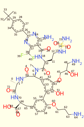 C[C@@H]1NC(=O)[C@@H](N(C)C(=O)[C@H](CCNS(N)(=O)=O)NC(=O)c2c(N)nc(-c3ccc(C(C)(C)C)cc3)nc2C(F)F)c2cc(OC[C@H](O)CN)c(O)c(c2)-c2cc(ccc2OCCCN)C[C@@H](C(=O)O)NC1=O